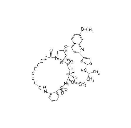 C=C[C@@H]1C[C@@]12NC(=O)[C@@H]1C[C@@H](Oc3cc(-c4csc(NC(C)C)n4)nc4cc(OC)ccc34)CN1C(=O)CCCCCCCCNc1ccccc1S(=O)(=O)NC2=O